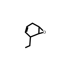 CCC1C=CCC2OC12